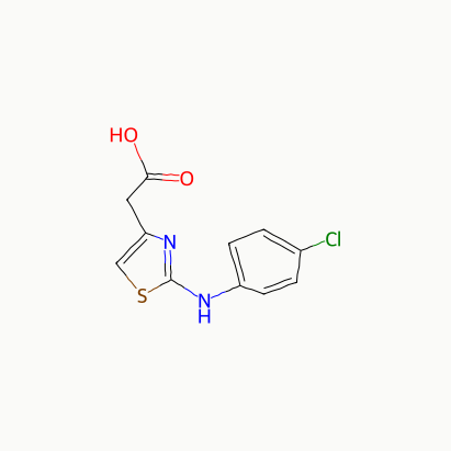 O=C(O)Cc1csc(Nc2ccc(Cl)cc2)n1